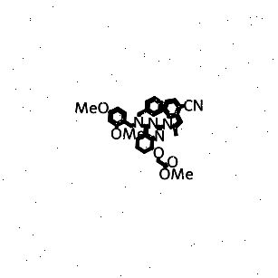 COC(=O)COC1CCCc2c1nc(-n1c(C)cc3c(C#N)cccc31)nc2N(Cc1ccccc1)Cc1ccc(OC)cc1OC